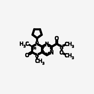 CON(C)C(=O)c1ncc2c(n1)N(C1CCCC1)[C@H](C)C(=O)N2C